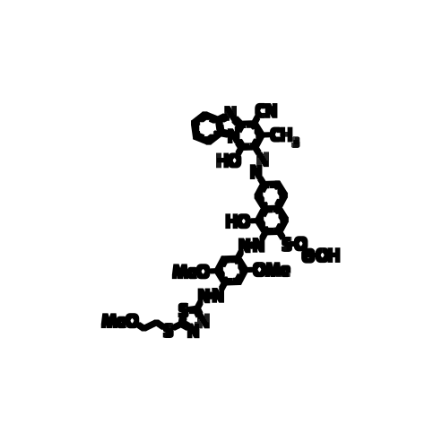 COCCSc1nnc(N=Nc2cc(OC)c(N=Nc3c(SOOO)cc4ccc(N=Nc5c(C)c(C#N)c6nc7ccccc7n6c5O)cc4c3O)cc2OC)s1